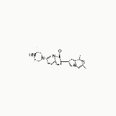 Cc1cn2cc(C3=C\C(=O)N4C=C(N5C[C@@H](C)N[C@@H](C)C5)C=C\C4=C/C=C/3)cc2c(C)n1